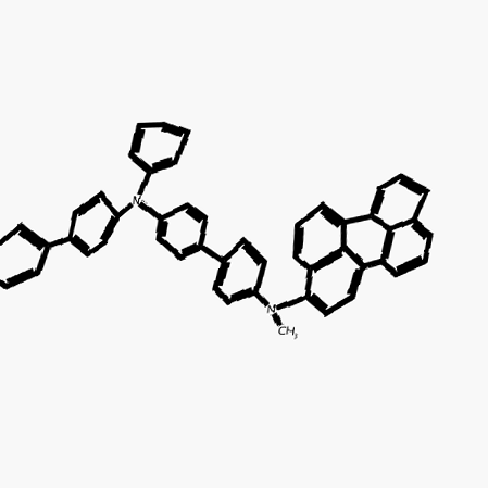 CN(c1ccc(-c2ccc(N(c3ccccc3)c3ccc(-c4ccccc4)cc3)cc2)cc1)c1ccc2c3cccc4cccc(c5cccc1c52)c43